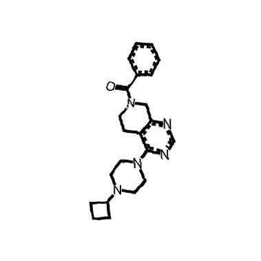 O=C(c1ccccc1)N1CCc2c(ncnc2N2CCN(C3CCC3)CC2)C1